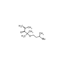 C=C(C)C(=O)C(C)(C)OCCC(C)C(C)CC